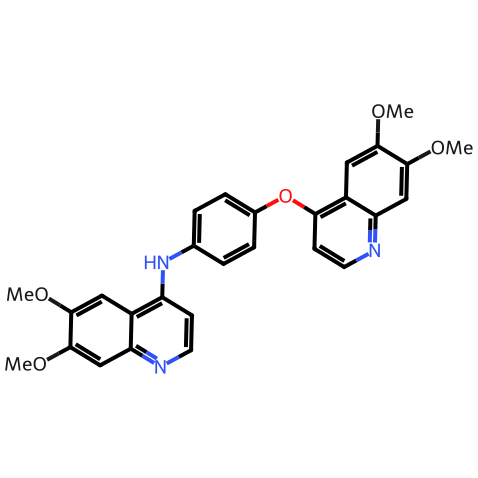 COc1cc2nccc(Nc3ccc(Oc4ccnc5cc(OC)c(OC)cc45)cc3)c2cc1OC